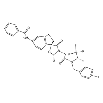 C[C@H](N(Cc1ccc(F)cc1)C(=O)CN1C(=O)O[C@@]2(CCc3cc(NC(=O)c4ccccc4)ccc32)C1=O)C(F)(F)F